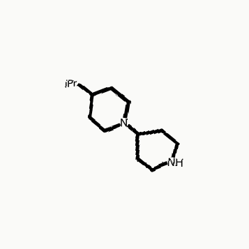 CC(C)C1CCN(C2CCNCC2)CC1